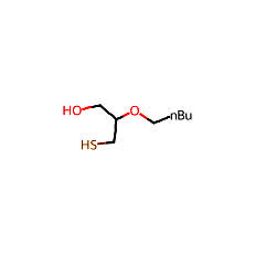 CCCCCOC(CO)CS